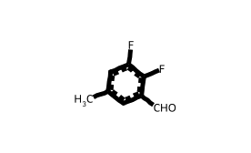 Cc1cc(F)c(F)c(C=O)c1